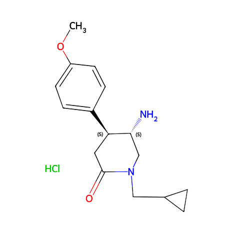 COc1ccc([C@@H]2CC(=O)N(CC3CC3)C[C@H]2N)cc1.Cl